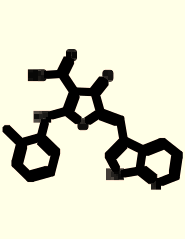 Cc1ccccc1NC1=C(C(=O)O)C(=O)/C(=C/c2c[nH]c3ncccc23)O1